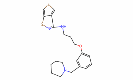 c1cc(CN2CCCCC2)cc(OCCCNc2nsc3cscc23)c1